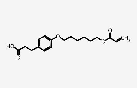 C=CC(=O)OCCCCCCOc1ccc(CCC(=O)O)cc1